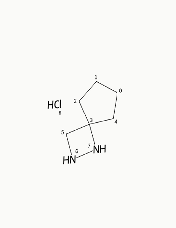 C1CCC2(C1)CNN2.Cl